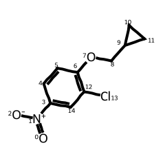 O=[N+]([O-])c1ccc(OCC2CC2)c(Cl)c1